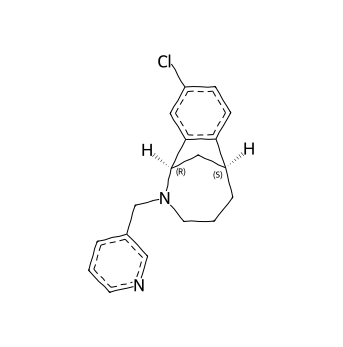 Clc1ccc2c(c1)[C@H]1C[C@@H]2CCCN1Cc1cccnc1